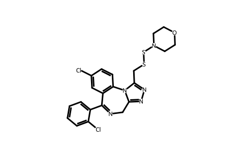 Clc1ccc2c(c1)C(c1ccccc1Cl)=NCc1nnc(CSSN3CCOCC3)n1-2